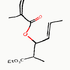 C=C(C)C(=O)OC(C=CC)C(C)C(=O)OCC